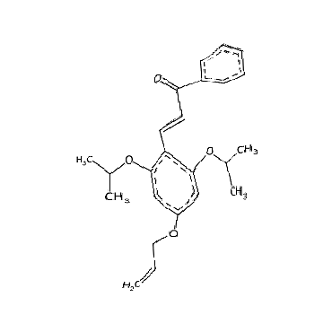 C=CCOc1cc(OC(C)C)c(C=CC(=O)c2ccccc2)c(OC(C)C)c1